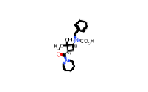 CC1(C)[C@@H](N(Cc2ccccc2)C(=O)O)C[C@H]1C(=O)N1CCCCC1